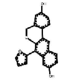 Oc1ccc2c(c1)COc1c-2cc2ccc(O)cc2c1-c1ccco1